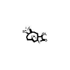 C=C1CCC2C(=C)C(=O)OC2/C=C(\C)CCC1O